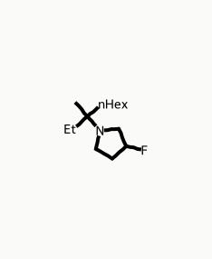 CCCCCCC(C)(CC)N1CCC(F)C1